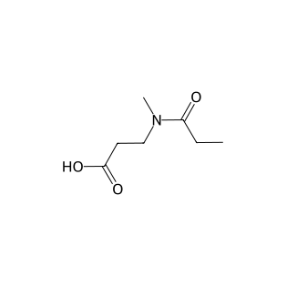 CCC(=O)N(C)CCC(=O)O